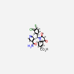 NC(=O)c1ccncc1.O=C(O)c1ccc2c(c1)C(=O)CC(=O)N2Cc1ccc(F)c(Cl)c1